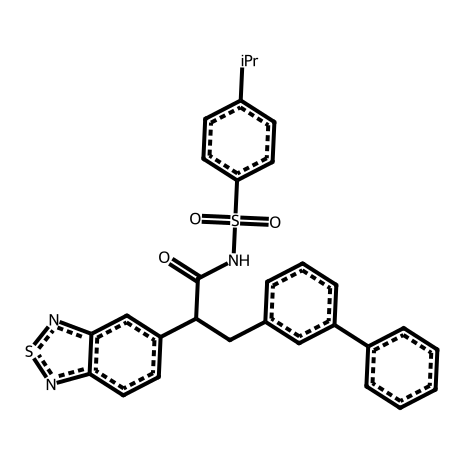 CC(C)c1ccc(S(=O)(=O)NC(=O)C(Cc2cccc(-c3ccccc3)c2)c2ccc3nsnc3c2)cc1